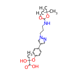 CC(C)(C)OC(=O)NCCCn1cc(-c2ccc(OC(C)(O)C(=O)O)cc2)cn1